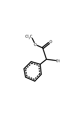 CCC(C(=O)OC(Cl)(Cl)Cl)c1ccccc1